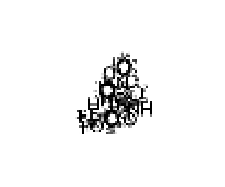 CN=S(=O)(N[C@@H]1CCCC(N2c3ccccc3Oc3ccccc32)[C@H]1O)c1ccc(OC(F)(F)F)cc1